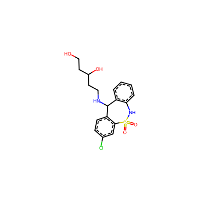 O=S1(=O)Nc2ccccc2C(NCCC(O)CCO)c2ccc(Cl)cc21